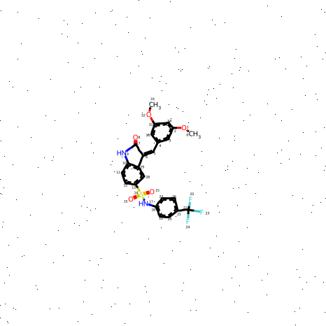 COc1cc(C=C2C(=O)Nc3ccc(S(=O)(=O)Nc4ccc(C(F)(F)F)cc4)cc32)cc(OC)c1